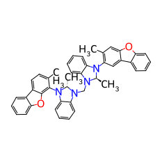 Cc1cc2oc3ccccc3c2cc1N1c2ccccc2N(CN2c3ccccc3N(c3c(C)ccc4c3oc3ccccc34)[C@@H]2C)[C@@H]1C